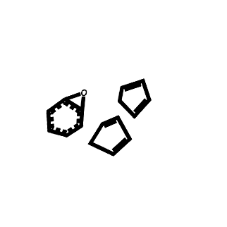 C1=CCC=C1.C1=CCC=C1.c1ccc2c(c1)O2